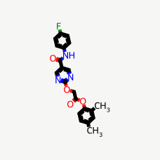 Cc1ccc(OC(=O)COc2ncc(C(=O)Nc3ccc(F)cc3)cn2)c(C)c1